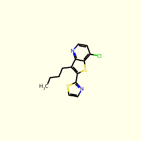 CCCCc1c(-c2nccs2)sc2c(Cl)ccnc12